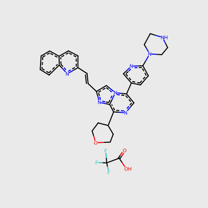 C(=Cc1cn2c(-c3ccc(N4CCNCC4)nc3)cnc(C3CCOCC3)c2n1)c1ccc2ccccc2n1.O=C(O)C(F)(F)F